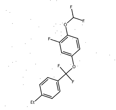 CCc1ccc(C(F)(F)Oc2ccc(OC(F)F)c(F)c2)cc1